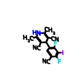 CC1=C(C#N)C(c2cc(C#N)c(F)c(I)c2F)C(C#N)=C(C)N1